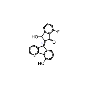 O=C1/C(=C2/c3cccnc3-c3c(O)cccc32)C(O)c2cccc(F)c21